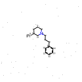 CC(C)C1CCCN(CCCc2ccccc2)C1